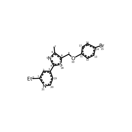 CCc1cc(-c2nc(C)c(COc3ccc(Br)cc3)s2)ccn1